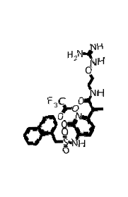 CC(C(=O)NCCONC(=N)N)c1ccc(NS(=O)(=O)Cc2cccc3ccccc23)c(=O)n1OC(=O)C(F)(F)F